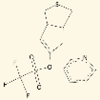 O=S(=O)(OC1=CC2CSCC2C1)C(F)(F)F.c1ccncc1